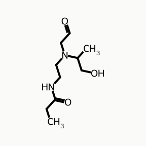 CCC(=O)NCCN(CC=O)C(C)CO